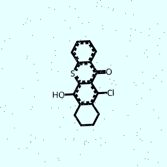 O=c1c2ccccc2sc2c(O)c3c(c(Cl)c12)CCCC3